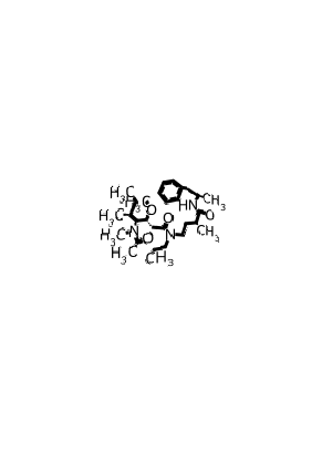 CCCN(CC[C@@H](C)C(=O)N[C@H](C)Cc1ccccc1)C(=O)C[C@@H](OC)[C@H]([C@@H](C)CC)N(C)C(C)=O